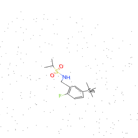 CC(C)S(=O)(=O)NCc1c[c]([Sn]([CH3])([CH3])[CH3])ccc1F